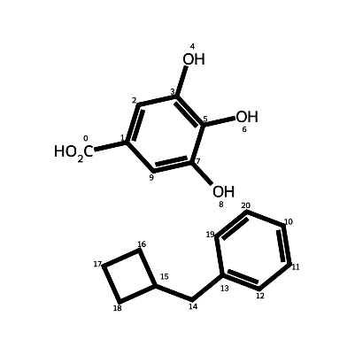 O=C(O)c1cc(O)c(O)c(O)c1.c1ccc(CC2CCC2)cc1